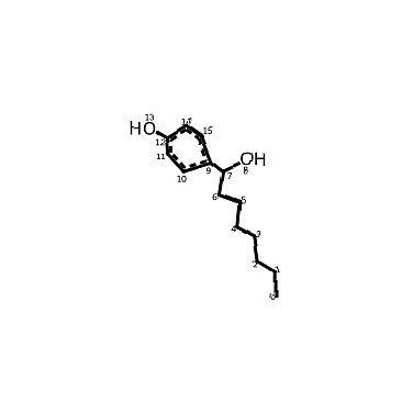 CCCCCCCC(O)c1ccc(O)cc1